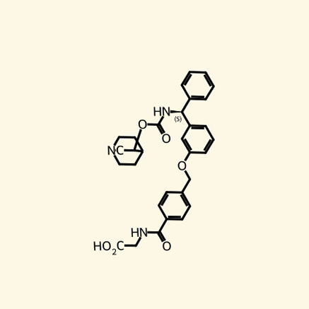 O=C(O)CNC(=O)c1ccc(COc2cccc([C@@H](NC(=O)OC3CN4CCC3CC4)c3ccccc3)c2)cc1